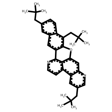 CC(C)(C)Cc1ccc2c(CC(C)(C)C)c3c(cc2c1)-c1nccc2c1c(cc1ncc(CC(C)(C)C)cc12)O3